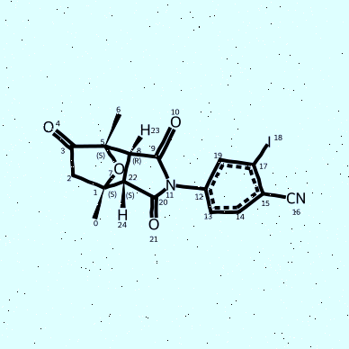 C[C@@]12CC(=O)[C@@](C)(O1)[C@@H]1C(=O)N(c3ccc(C#N)c(I)c3)C(=O)[C@@H]12